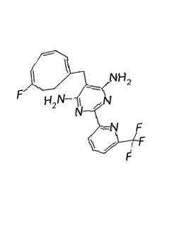 Nc1nc(-c2cccc(C(F)(F)F)n2)nc(N)c1C/C1=C/C=C\C=C(\F)CC1